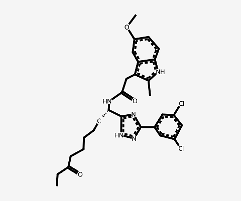 CCC(=O)CCCCC[C@H](NC(=O)Cc1c(C)[nH]c2ccc(OC)cc12)c1nc(-c2cc(Cl)cc(Cl)c2)n[nH]1